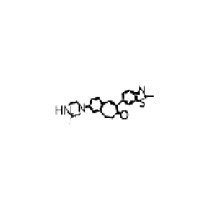 Cc1nc2ccc(C3=Cc4ccc(N5CCN[C@@H](C)C5)cc4CCC3=O)cc2s1